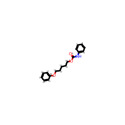 O=C(Nc1ccccc1)OCCCCCOc1ccccc1